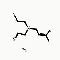 CC(C)=CCN(CCCl)CCCl.Cl